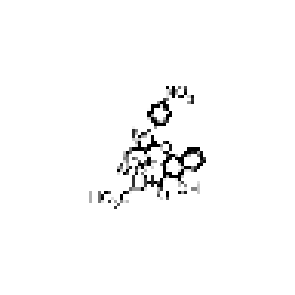 CCCCCCCCCCCc1nn(-c2ccc([N+](=O)[O-])cc2)c(Oc2cc(C(=O)NCCC(=O)O)c(O)c3ccccc23)c1COC(C)=O